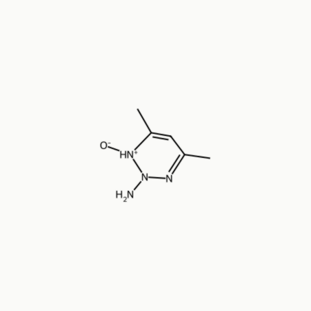 CC1=CC(C)=NN(N)[NH+]1[O-]